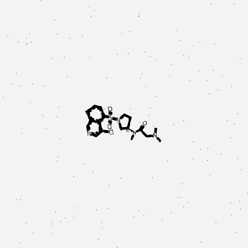 CN(C)CC(=O)N(C)[C@@H]1CCN(S(=O)(=O)c2cccc3cncc(Cl)c23)C1